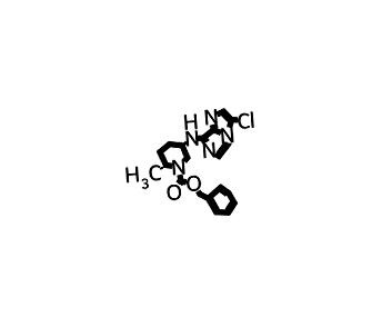 C[C@@H]1CC[C@@H](Nc2nccn3c(Cl)cnc23)CN1C(=O)OCc1ccccc1